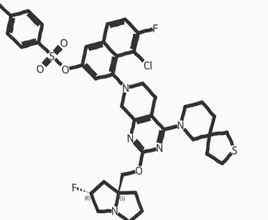 Cc1ccc(S(=O)(=O)Oc2cc(N3CCc4c(nc(OC[C@@]56CCCN5C[C@H](F)C6)nc4N4CCCC5(CCSC5)C4)C3)c3c(Cl)c(F)ccc3c2)cc1